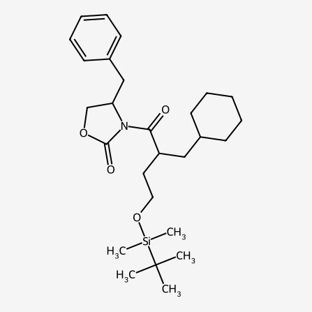 CC(C)(C)[Si](C)(C)OCCC(CC1CCCCC1)C(=O)N1C(=O)OCC1Cc1ccccc1